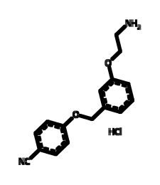 Cl.N#Cc1ccc(OCc2cccc(OCCN)c2)cc1